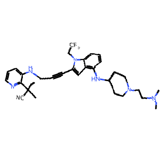 CN(C)CCN1CCC(Nc2cccc3c2cc(C#CCNc2cccnc2C(C)(C)C#N)n3CC(F)(F)F)CC1